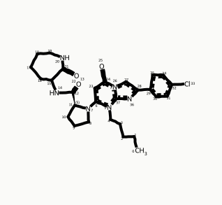 CCCCCn1c(N2CCC[C@H]2C(=O)NC2CCCCNC2=O)cc(=O)n2cc(-c3ccc(Cl)cc3)nc12